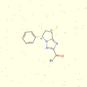 CCC(=O)c1nc2n(n1)[C@H](c1ccccc1)C[C@@H]2F